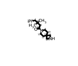 CC(C)CC(C)(C)CC(=O)N1CCC2(CC1)CNC2